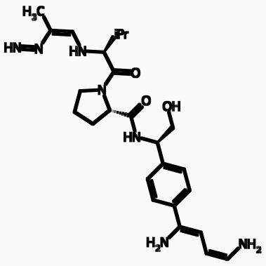 C/C(=C/N[C@H](C(=O)N1CCC[C@H]1C(=O)N[C@@H](CO)c1ccc(/C(N)=C/C=C\N)cc1)C(C)C)N=N